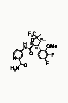 COc1c([C@@H]2[C@@H](C(=O)Nc3ccnc(C(N)=O)c3)O[C@](C)(C(F)(F)F)[C@@H]2C)ccc(F)c1F